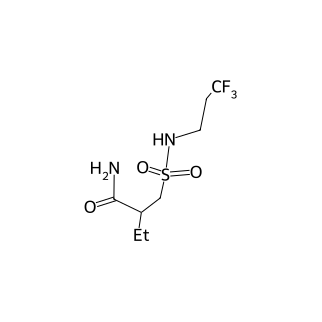 CCC(CS(=O)(=O)NCCC(F)(F)F)C(N)=O